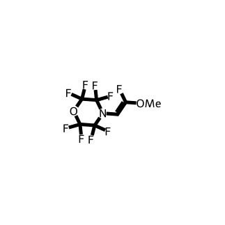 CO/C(F)=C/N1C(F)(F)C(F)(F)OC(F)(F)C1(F)F